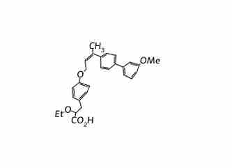 CCOC(Cc1ccc(OCC=C(C)c2ccc(-c3cccc(OC)c3)cc2)cc1)C(=O)O